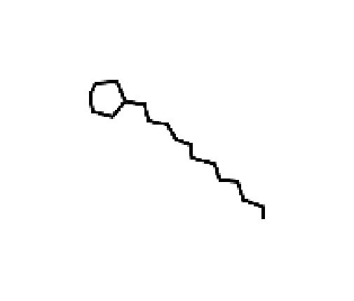 CCCCCCCCCCCCC1CCCCC1